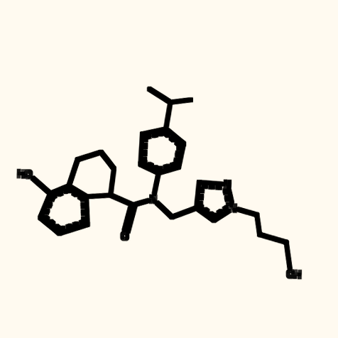 CC(C)c1ccc(N(Cc2cnn(CCCO)c2)C(=O)C2CCCc3c(O)cccc32)cc1